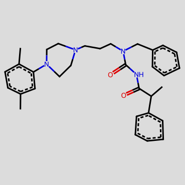 Cc1ccc(C)c(N2CCN(CCCN(Cc3ccccc3)C(=O)NC(=O)C(C)c3ccccc3)CC2)c1